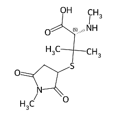 CN[C@@H](C(=O)O)C(C)(C)SC1CC(=O)N(C)C1=O